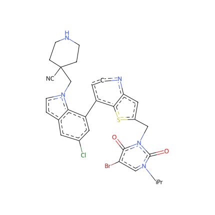 CC(C)n1cc(Br)c(=O)n(Cc2cc3nccc(-c4cc(Cl)cc5ccn(CC6(C#N)CCNCC6)c45)c3s2)c1=O